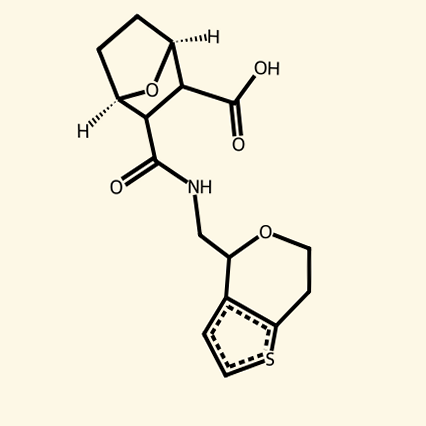 O=C(O)C1C(C(=O)NCC2OCCc3sccc32)[C@H]2CC[C@@H]1O2